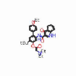 CCOc1ccc(-c2cc(C(C)(C)C)c(OC(=O)CN(CC)CC)cc2NC(=O)c2c[nH]c3ccccc3c2=O)cc1